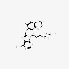 Cc1cc2c(cc1Sc1nc3c(N)ncnc3n1CCCNS(=O)(=O)C(C)(C)C)OCCO2